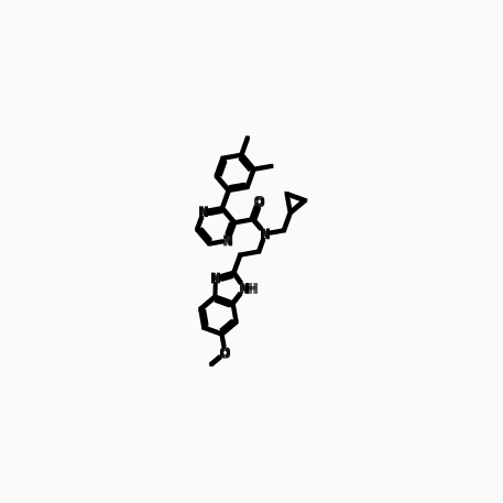 COc1ccc2nc(CCN(CC3CC3)C(=O)c3nccnc3-c3ccc(C)c(C)c3)[nH]c2c1